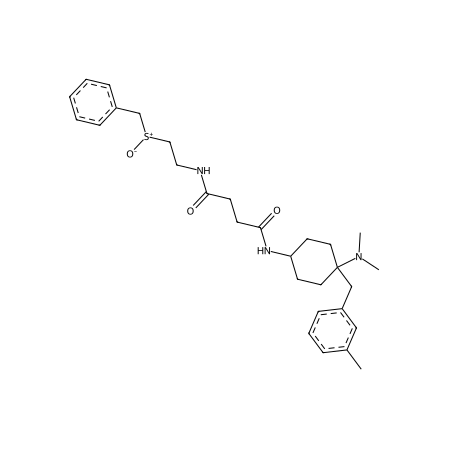 Cc1cccc(CC2(N(C)C)CCC(NC(=O)CCC(=O)NCC[S+]([O-])Cc3ccccc3)CC2)c1